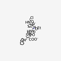 CCO/N=C(\C(=O)N[C@@H]1C(=O)N2C(C(=O)[O-])=C(Cn3cc[n+]4ccccc34)CS[C@@H]12)c1csc(NC(=O)CCl)[n+]1[O-]